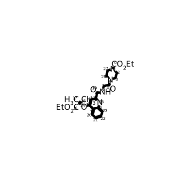 CCOC(=O)N1CCN(C(=O)CNC(=O)c2cc(OC(C)(C)C(=O)OCC)c3ccccc3n2)CC1